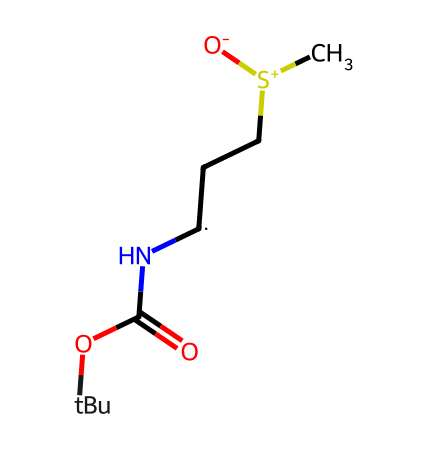 C[S+]([O-])CC[CH]NC(=O)OC(C)(C)C